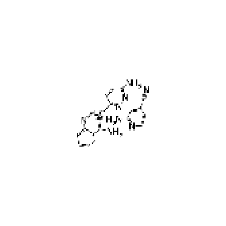 Cc1ccc(N)nn1.N#Cc1ccnc(N)c1.Nc1ccnc2ccccc12